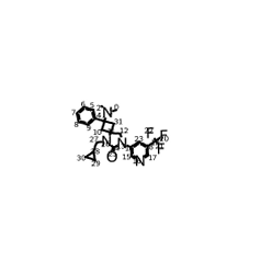 CN(C)C1(c2ccccc2)CC2(CN(c3cncc(C(F)(F)F)c3)C(=O)N2CC2CC2)C1